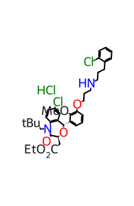 CCOC(=O)C[C@@H]1O[C@@H](c2cccc(OCCCNCCCc3ccccc3Cl)c2OC)c2cc(Cl)ccc2N(CC(C)(C)C)C1=O.Cl